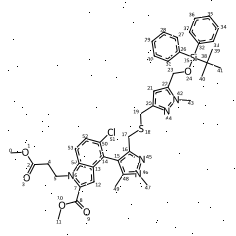 COC(=O)CCn1c(C(=O)OC)cc2c(-c3c(CSCc4cc(CO[Si](c5ccccc5)(c5ccccc5)C(C)(C)C)n(C)n4)nn(C)c3C)c(Cl)ccc21